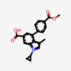 COC(=O)c1ccc(-c2cc(C(=O)O)cc3c2c(C)cn3C2CC2)cc1